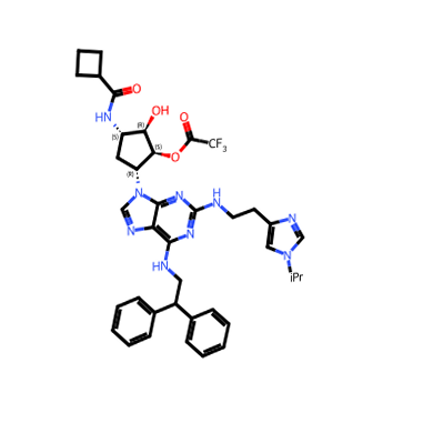 CC(C)n1cnc(CCNc2nc(NCC(c3ccccc3)c3ccccc3)c3ncn([C@@H]4C[C@H](NC(=O)C5CCC5)[C@@H](O)[C@H]4OC(=O)C(F)(F)F)c3n2)c1